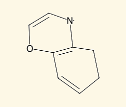 C1=CC2=C(CC1)[N]C=CO2